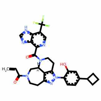 C=CC(=O)N1CCc2nn(-c3ccc(C4CCC4)cc3O)c3c2[C@H](C1)N(C(=O)c1ncc(C(F)(F)F)c2[nH]cnc12)CC3